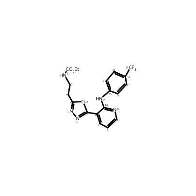 CCOC(=O)NCCc1nnc(-c2cccnc2Nc2ccc(C(F)(F)F)cc2)o1